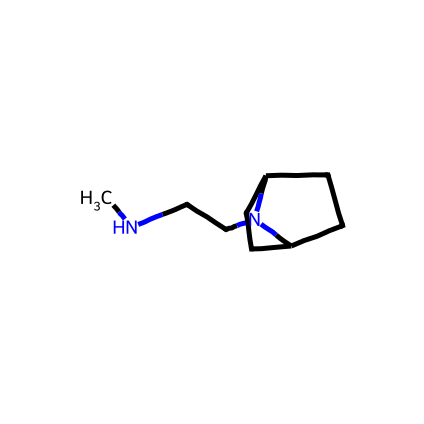 CNCCN1C2CCC1CC2